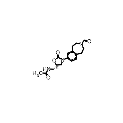 CC(=O)NC[C@H]1CN(c2ccc3c(c2)CCN(C=O)CC3)C(=O)O1